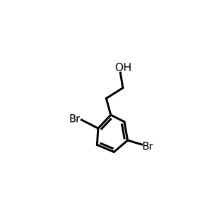 OCCc1cc(Br)ccc1Br